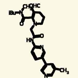 CCC(C)N(C)C(=O)C1=C(C=O)CCCN1CC(=O)Nc1ccc(-c2cncc(C)c2)cn1